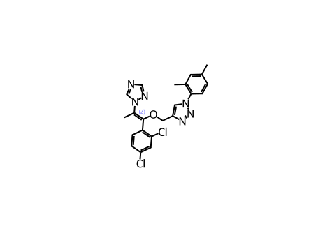 C/C(=C(/OCc1cn(-c2ccc(C)cc2C)nn1)c1ccc(Cl)cc1Cl)n1cncn1